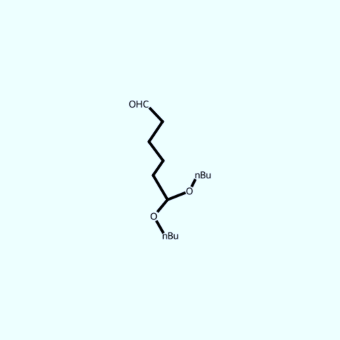 CCCCOC(CCCCC=O)OCCCC